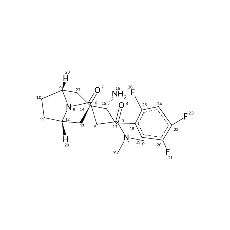 CN(C)C(=O)CC(=O)N1[C@@H]2CC[C@H]1C[C@H]([C@H](N)Cc1cc(F)c(F)cc1F)C2